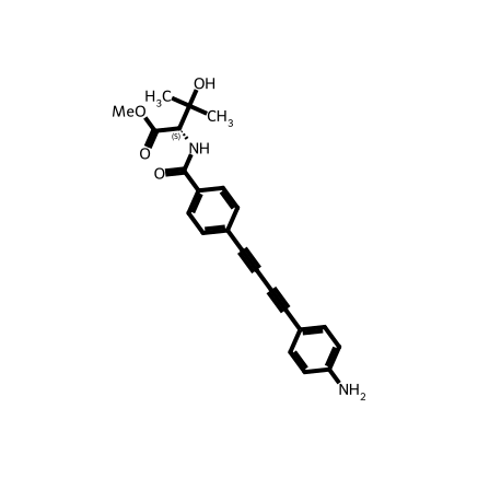 COC(=O)[C@@H](NC(=O)c1ccc(C#CC#Cc2ccc(N)cc2)cc1)C(C)(C)O